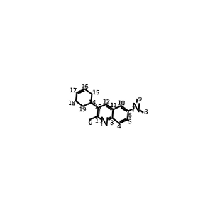 Cc1nc2ccc(N(C)C)cc2cc1C1CC=CCC1